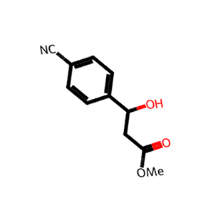 COC(=O)CC(O)c1ccc(C#N)cc1